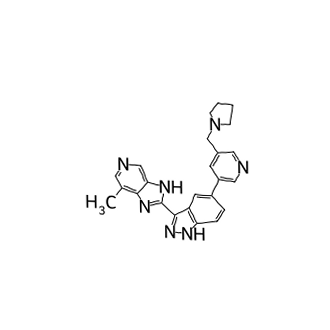 Cc1cncc2[nH]c(-c3n[nH]c4ccc(-c5cncc(CN6CCCC6)c5)cc34)nc12